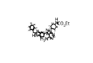 CCOC(=O)NC1CCC(n2nc(-c3ccc4[nH]c(Cc5ccccc5)nc4c3)c3c(N)ncnc32)CC1